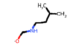 CC(C)CCNC[O]